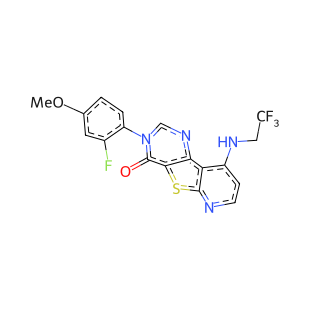 COc1ccc(-n2cnc3c(sc4nccc(NCC(F)(F)F)c43)c2=O)c(F)c1